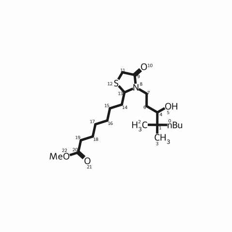 CCCCC(C)(C)C(O)CCN1C(=O)CSC1CCCCCCC(=O)OC